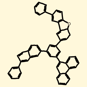 C1=C(c2cc(-c3ccc4ccc(-c5ccccc5)cc4c3)cc(-c3cc4ccccc4c4ccccc34)c2)C=C2c3cc(-c4ccccc4)ccc3OC2C1